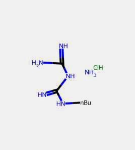 CCCCNC(=N)NC(=N)N.Cl.N